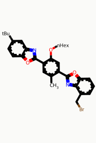 CCCCCCOc1cc(-c2nc3c(CBr)cccc3o2)c(C)cc1-c1nc2cc(C(C)(C)C)ccc2o1